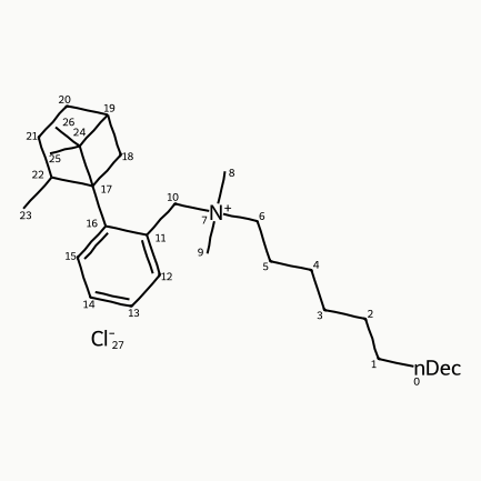 CCCCCCCCCCCCCCCC[N+](C)(C)Cc1ccccc1C12CC(CCC1C)C2(C)C.[Cl-]